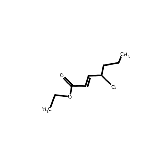 CCCC(Cl)C=CC(=O)OCC